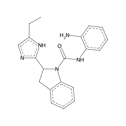 CCc1cnc(C2Cc3ccccc3N2C(=O)Nc2ccccc2N)[nH]1